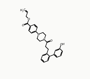 C=CCOC(=O)c1ccc(N2CCN(C(=O)CCc3ccccc3-c3cccc(O)c3)CC2)cc1